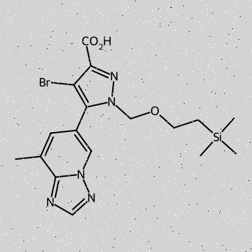 Cc1cc(-c2c(Br)c(C(=O)O)nn2COCC[Si](C)(C)C)cn2ncnc12